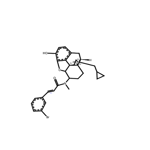 CN(C(=O)/C=C/c1cccc(Br)c1)C1CC[C@@]2(O)[C@H]3Cc4ccc(O)c5c4[C@@]2(CCN3CC2CC2)C1O5